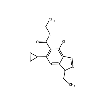 CCOC(=O)c1c(C2CC2)nc2c(cnn2CC)c1Cl